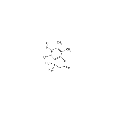 Cc1c(C)c2c(c(C)c1N=O)C(C)(C)CC(=O)O2